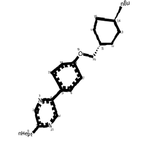 CCCCCCCc1cnc(-c2ccc(OC[C@H]3CC[C@H](CCCC)CC3)cc2)cn1